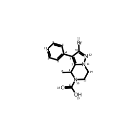 CC1c2c(-c3ccncc3)c(Br)nn2CCN1C(=O)O